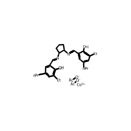 CC(=O)[O-].CC(=O)[O-].CCCc1cc(C=NC2CCCC2N=Cc2cc(CCC)cc(CC)c2O)c(O)c(CC)c1.[Co+2]